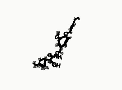 CCC#CCOc1ccc(CONC(=O)C(O)c2ccc(CC)cc2)cc1OC